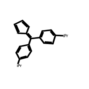 CC(C)c1ccc(C(=C2[C]=CC=C2)c2ccc(C(C)C)cc2)cc1